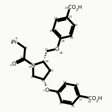 CC(C)CC(=O)N1C[C@@H](Oc2ccc(C(=O)O)cc2)C[C@H]1COc1ccc(C(=O)O)cc1